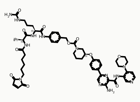 CC(C)[C@H](NC(=O)CCCCCN1C(=O)C=CC1=O)C(=O)N[C@@H](CCCNC(N)=O)C(=O)Nc1ccc(COC(=O)N2CCC[C@H](Oc3ccc(-c4cnc(N)c(C(=O)Nc5cnccc5N5CCOCC5)n4)cc3)C2)cc1